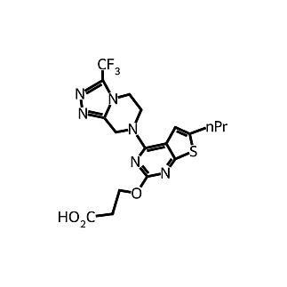 CCCc1cc2c(N3CCn4c(nnc4C(F)(F)F)C3)nc(OCCC(=O)O)nc2s1